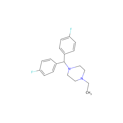 CCN1CCN(C(c2ccc(F)cc2)c2ccc(F)cc2)CC1